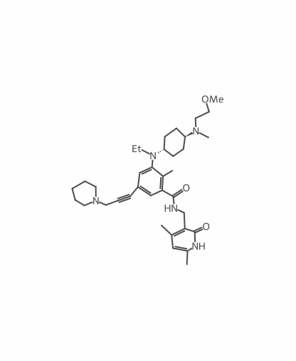 CCN(c1cc(C#CCN2CCCCC2)cc(C(=O)NCc2c(C)cc(C)[nH]c2=O)c1C)[C@H]1CC[C@H](N(C)CCOC)CC1